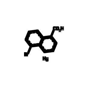 O=C(O)c1cccc2c(Br)cccc12.[Hg]